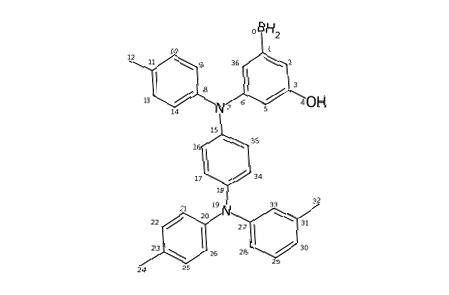 Bc1cc(O)cc(N(c2ccc(C)cc2)c2ccc(N(c3ccc(C)cc3)c3cccc(C)c3)cc2)c1